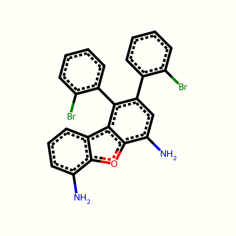 Nc1cccc2c1oc1c(N)cc(-c3ccccc3Br)c(-c3ccccc3Br)c12